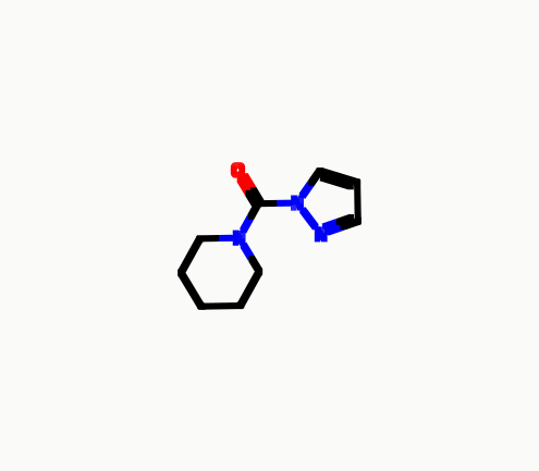 O=C(N1CCCCC1)n1cccn1